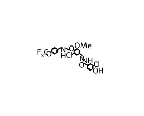 COc1cc(/C=N/NC(=O)c2ccc(O)c(Cl)c2)cc(Cl)c1OCCNCc1ccc(OC(F)(F)F)cc1